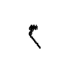 CCCCCCCCCCCCCCCC/C=C\OC[CH]CO[PH]1(O)NCCO1